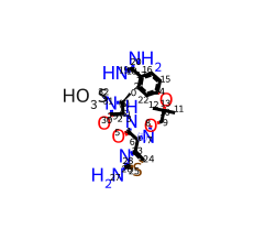 C[C@H]1[C@H](NC(=O)/C(=N\OCC(C)(C)Oc2ccc(C(=N)N)cc2)c2csc(N)n2)C(=O)N1S(=O)(=O)O